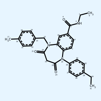 CCNC(=O)c1ccc2c(c1)N(Cc1ccc(C)cc1)C(=O)CC(=O)N2c1ccc(CC)cc1